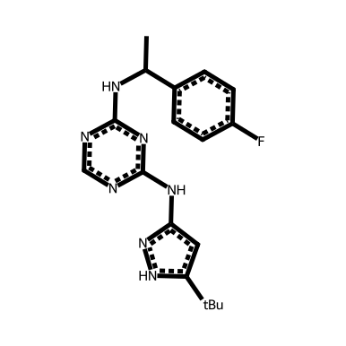 CC(Nc1ncnc(Nc2cc(C(C)(C)C)[nH]n2)n1)c1ccc(F)cc1